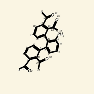 CC(=O)c1cccc(-c2cccc(P)c2-c2cccc(C(C)=O)c2C(C)=O)c1C(C)=O